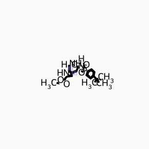 C=C(/C=c1/cc(C(=O)OCC)[nH]/c1=C/N)NS(=O)(=O)c1ccc(C(C)(C)C)cc1